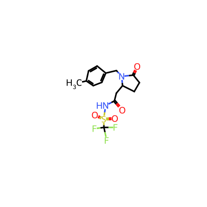 Cc1ccc(CN2C(=O)CCC2CC(=O)NS(=O)(=O)C(F)(F)F)cc1